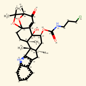 CC1(C)O[C@@]23CC[C@]4(C)[C@@]5(C)c6[nH]c7ccccc7c6C[C@@H]5C[C@H](OC(=O)NCCCCl)[C@@]4(O)C2=CC(=O)[C@@H]1O3